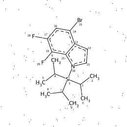 CC(C)[Si](C(C)C)(C(C)C)n1ccc2c(Br)cc(F)c(F)c21